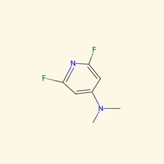 CN(C)c1cc(F)nc(F)c1